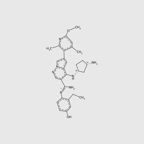 CCc1cc(O)ccc1/N=C(\N)c1cnn2cc(-c3c(C)cc(OC)nc3C)cc2c1N[C@@H]1CC[C@H](N)C1